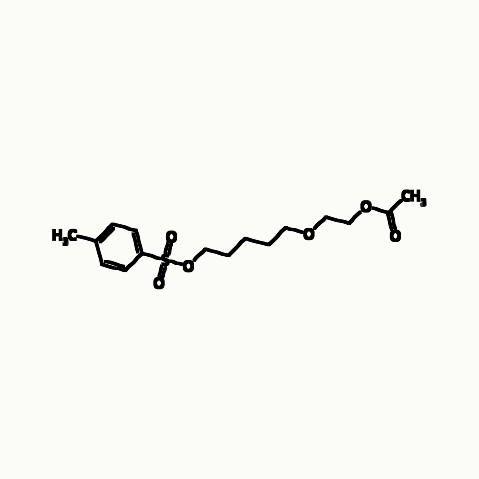 CC(=O)OCCOCCCCCOS(=O)(=O)c1ccc(C)cc1